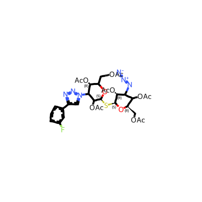 CC(=O)OCC1O[C@@H](S[C@@H]2O[C@H](COC(C)=O)C(OC(C)=O)C(N=[N+]=[N-])[C@H]2OC(C)=O)C(OC(C)=O)C(n2cc(-c3cccc(F)c3)nn2)[C@H]1OC(C)=O